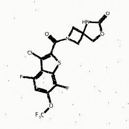 O=C1NC2(CO1)CN(C(=O)c1sc3c(F)c(OC(F)(F)F)cc(F)c3c1Cl)C2